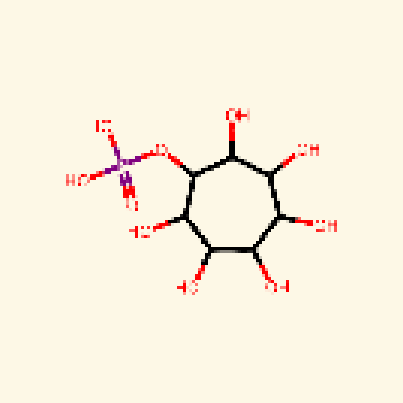 O=P(O)(O)OC1C(O)C(O)C(O)C(O)C(O)C1O